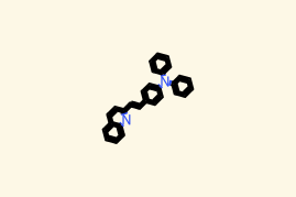 C(=Cc1ccc2ccccc2n1)c1ccc(N(c2ccccc2)c2ccccc2)cc1